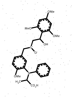 COc1cc(OC)c(C(O)C[S+]([O-])Cc2ccc(OC)c(N(c3ccccc3)C(C)C(=O)O)c2)c(OC)c1